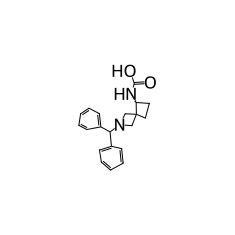 O=C(O)N[C@H]1CCC12CN(C(c1ccccc1)c1ccccc1)C2